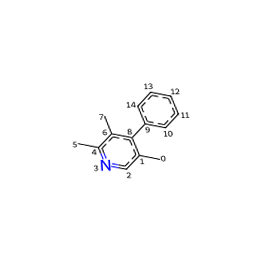 Cc1cnc(C)c(C)c1-c1ccccc1